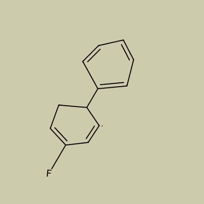 FC1=CCC(c2ccccc2)[C]=C1